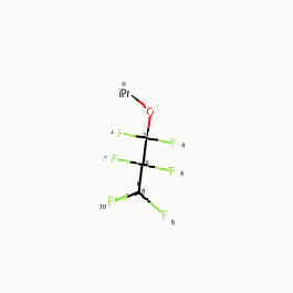 CC(C)OC(F)(F)C(F)(F)C(F)F